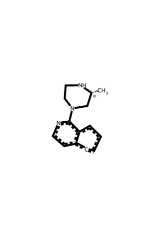 C[C@@H]1CN(c2nccc3ccccc23)CCN1